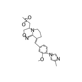 COc1cc(/C=C2\CCCN3C2=NOCC3CS(C)(=O)=O)ccc1-n1cnc(C)c1